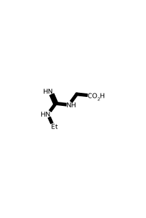 CCNC(=N)NCC(=O)O